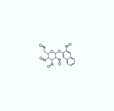 O=NCC1OC(Oc2cc3ccccc3cc2N=O)C(N=O)C(N=O)C1N=O